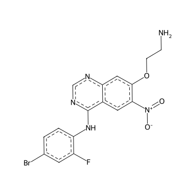 NCCOc1cc2ncnc(Nc3ccc(Br)cc3F)c2cc1[N+](=O)[O-]